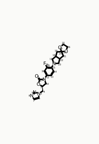 O=C1O[C@H](Cn2ccnn2)CN1c1ccc(N2CC3CC4(CC3C2)OCCO4)c(F)c1